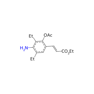 CCOC(=O)C=Cc1cc(CC)c(N)c(CC)c1OC(C)=O